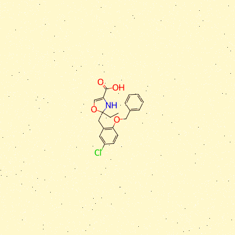 CCC1(Cc2cc(Cl)ccc2OCc2ccccc2)NC(C(=O)O)=CO1